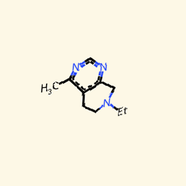 CCN1CCc2c(C)ncnc2C1